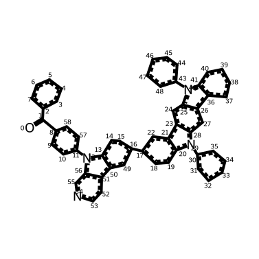 O=C(c1ccccc1)c1ccc(-n2c3ccc(-c4ccc5c(c4)c4cc6c(cc4n5-c4ccccc4)c4ccccc4n6-c4ccccc4)cc3c3ccncc32)cc1